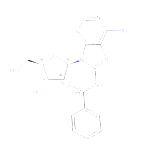 CC(Nc1nc2c(N)ncnc2n1[C@@H]1O[C@H](CO)[C@@H](O)[C@H]1O)c1ccccc1